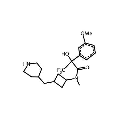 COc1cccc(C(O)(C(=O)N(C)C2CC(CC3CCNCC3)C2)C(F)(F)F)c1